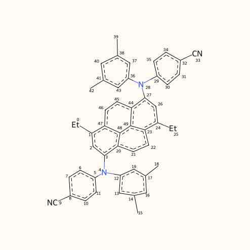 CCc1cc(N(c2ccc(C#N)cc2)c2cc(C)cc(C)c2)c2ccc3c(CC)cc(N(c4ccc(C#N)cc4)c4cc(C)cc(C)c4)c4ccc1c2c34